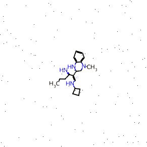 CCCC(=N)/C(=C\NC1CCC1)C1CN(C)c2ccccc2N1